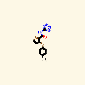 Cc1ccc(Sc2ccsc2C(=O)Nc2nnn[nH]2)cc1